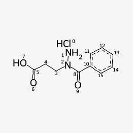 Cl.NN(CCC(=O)O)C(=O)c1ccccc1